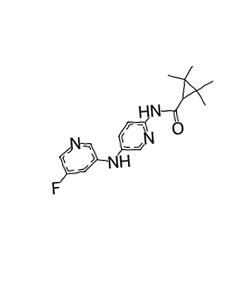 CC1(C)C(C(=O)Nc2ccc(Nc3cncc(F)c3)cn2)C1(C)C